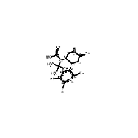 CC(C)(C)N(C(=O)O)[C@H]1CNC(=O)C[C@@H]1c1cc(F)c(F)cc1F